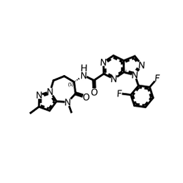 Cc1cc2n(n1)CC[C@H](NC(=O)c1ncc3cnn(-c4c(F)cccc4F)c3n1)C(=O)N2C